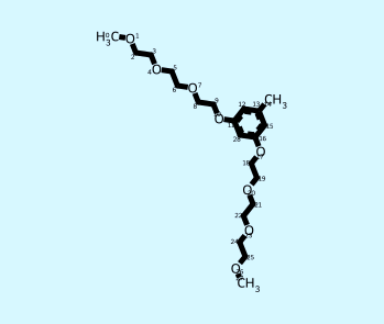 COCCOCCOCCOc1cc(C)cc(OCCOCCOCCOC)c1